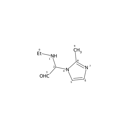 CCNC(C=O)n1c[c]nc1C